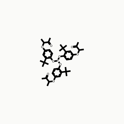 CC(=O)C(C)Oc1ccc(OP(Oc2ccc(OC(C)C(C)=O)cc2C(C)(C)C)Oc2ccc(OC(C)C(C)=O)cc2C(C)(C)C)c(C(C)(C)C)c1